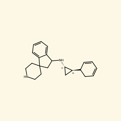 C1=CCC([C@H]2C[C@@H]2NC2CC3(CCNCC3)c3ccccc32)C=C1